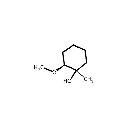 CO[C@H]1CCCC[C@@]1(C)O